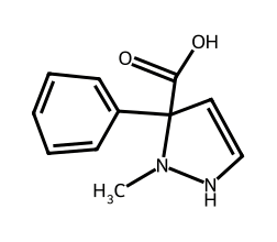 CN1NC=CC1(C(=O)O)c1ccccc1